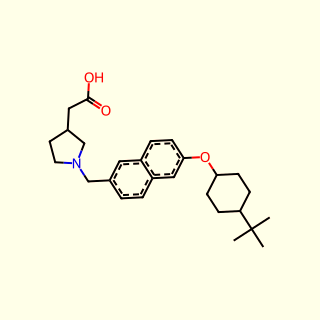 CC(C)(C)C1CCC(Oc2ccc3cc(CN4CCC(CC(=O)O)C4)ccc3c2)CC1